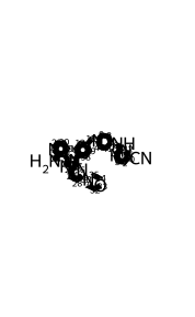 N#Cc1ccnc(NC2CCN(Cc3ccc(-n4c(-c5cccnc5N)nc5ccc(N6CCOCC6)nc54)cc3)CC2)n1